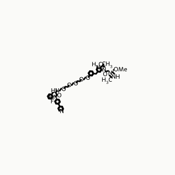 COC[C@H]1CN[C@H](C)CN1CC(=O)N1CC(C)(C)c2ncc(Cc3cccc(OCCOCCOCCOCCOCCN[C@H](Cc4cccc(F)c4)C(=O)Nc4ccc(-c5ccncc5)cc4)c3)cc21